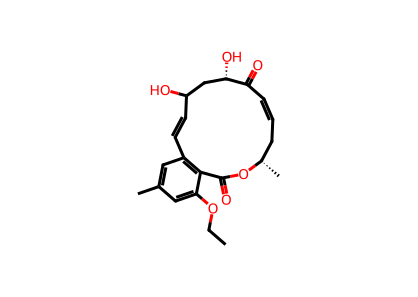 CCOc1cc(C)cc2c1C(=O)O[C@@H](C)C/C=C\C(=O)[C@@H](O)CC(O)/C=C/2